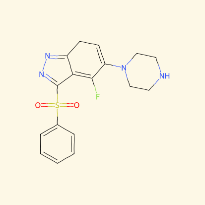 O=S(=O)(C1=NN=C2CC=C(N3CCNCC3)C(F)=C21)c1ccccc1